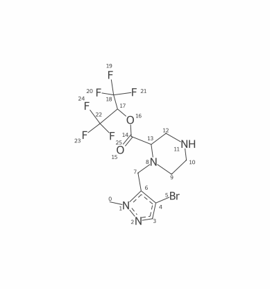 Cn1ncc(Br)c1CN1CCNCC1C(=O)OC(C(F)(F)F)C(F)(F)F